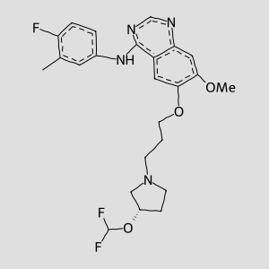 COc1cc2ncnc(Nc3ccc(F)c(C)c3)c2cc1OCCCN1CC[C@H](OC(F)F)C1